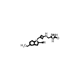 CCc1ccc2c(c1)cc(C#N)n2CC12CC(NCc3n[nH]c(=O)[nH]3)(C1)C2